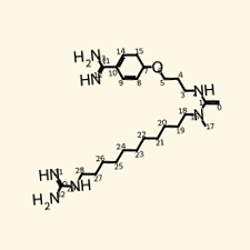 C=C(NCCCOC1C=CC(C(=N)N)=CC1)N(C)CCCCCCCCCCCNC(=N)N